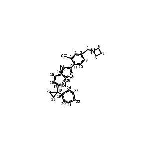 Fc1cc(CN2CCC2)ccc1-c1nc2ccc(C3(c4ccccc4)CC3)nc2s1